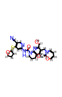 N#Cc1cnc(NC(=O)N2CCCc3cc(CN4C=CC=COC4=C=O)c(C=O)nc32)cc1S[C@H]1CCCO1